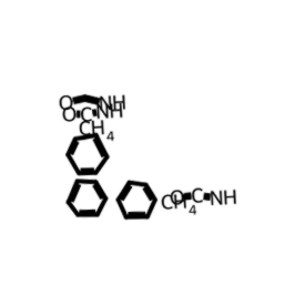 C.C.N=C=O.N=C=O.N=C=O.c1ccccc1.c1ccccc1.c1ccccc1